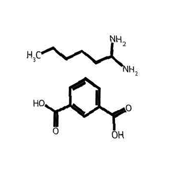 CCCCCC(N)N.O=C(O)c1cccc(C(=O)O)c1